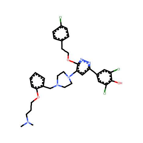 CN(C)CCCOc1ccccc1CN1CCN(c2cc(-c3cc(Cl)c(O)c(Cl)c3)nnc2OCCc2ccc(Cl)cc2)CC1